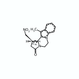 Cc1c2n(c3ccccc13)CCN1C(=O)C[C@H]3[C@H](C[N+](=O)[O-])CC[C@]231